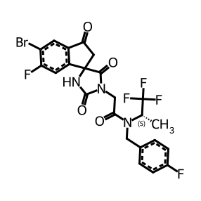 C[C@H](N(Cc1ccc(F)cc1)C(=O)CN1C(=O)NC2(CC(=O)c3cc(Br)c(F)cc32)C1=O)C(F)(F)F